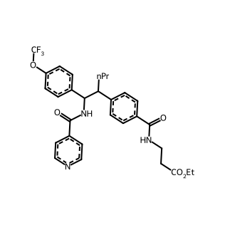 CCCC(c1ccc(C(=O)NCCC(=O)OCC)cc1)C(NC(=O)c1ccncc1)c1ccc(OC(F)(F)F)cc1